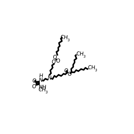 CCCCCCCCCOC(=O)OCCCCCCN(CCCCCCCC(=O)OC(CCCCCCCC)CCCCCCCC)CCCNc1c(NC)c(=O)c1=O